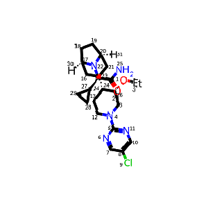 CCO[C@@H]1CN(c2ncc(Cl)cn2)CC[C@@H]1C1C[C@H]2CC[C@@H](C1)N2[C@@H](C(N)=O)C1CC1